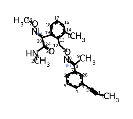 CC#Cc1cccc(/C(C)=N/OCc2c(C)cccc2/C(=N\OC)C(=O)NC)c1